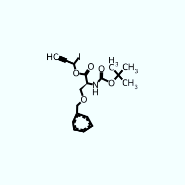 C#CC(I)OC(=O)[C@H](COCc1ccccc1)NC(=O)OC(C)(C)C